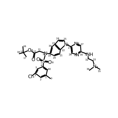 Cc1cc(Cl)cc(S(=O)(=O)N(CC(=O)OC(C)(C)C)c2ccc3c(ccn3-c3cnc(NCCN(C)C)cn3)c2)c1